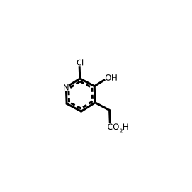 O=C(O)Cc1ccnc(Cl)c1O